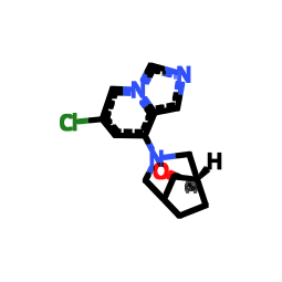 O=C1C2CC[C@H]1CN(c1cc(Cl)cn3cncc13)C2